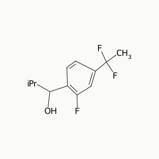 CC(C)C(O)c1ccc(C(C)(F)F)cc1F